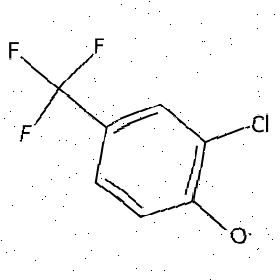 [O]c1ccc(C(F)(F)F)cc1Cl